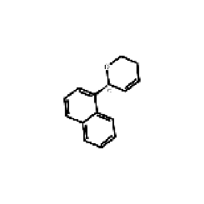 C1=C[C@@H](c2cccc3ccccc23)OCC1